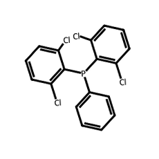 Clc1cccc(Cl)c1P(c1ccccc1)c1c(Cl)cccc1Cl